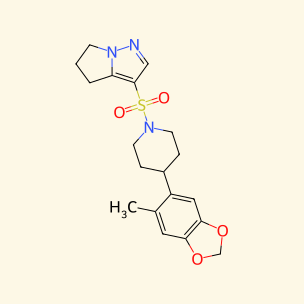 Cc1cc2c(cc1C1CCN(S(=O)(=O)c3cnn4c3CCC4)CC1)OCO2